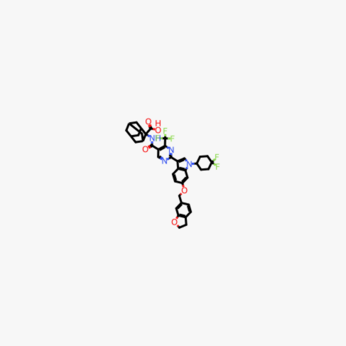 O=C(NC1(C(=O)O)C2CC3CC(C2)CC1C3)c1cnc(-c2cn(C3CCC(F)(F)CC3)c3cc(OCc4ccc5c(c4)OCC5)ccc23)nc1C(F)(F)F